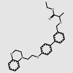 CCOC(=O)C(C)OCc1cccc(-c2ccc(OCCN3CCOc4ccccc43)cc2)c1